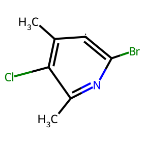 Cc1[c]c(Br)nc(C)c1Cl